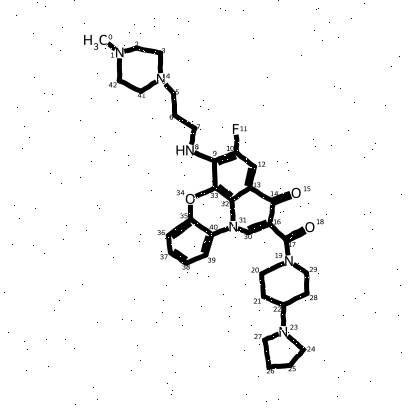 CN1CCN(CCCNc2c(F)cc3c(=O)c(C(=O)N4CCC(N5CCCC5)CC4)cn4c3c2Oc2ccccc2-4)CC1